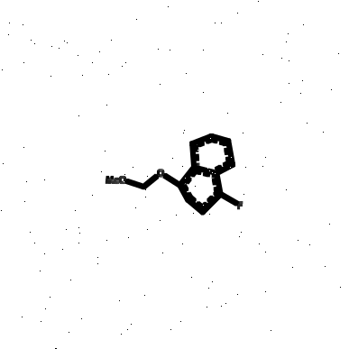 COCOc1ccc(F)c2ccccc12